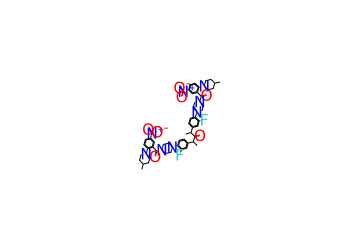 CC1CCN(c2ccc([N+](=O)[O-])cc2C(=O)N2CCN(c3ccc(C(C)C(=O)C(C)c4ccc(N5CCN(C(=O)c6cc([N+](=O)[O-])ccc6N6CCC(C)CC6)CC5)c(F)c4)cc3F)CC2)CC1